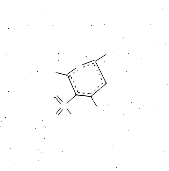 Cc1cc(Cl)c(S(=O)(=O)Cl)c(Cl)c1